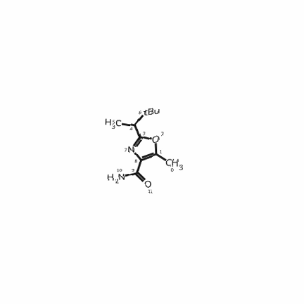 Cc1oc(C(C)C(C)(C)C)nc1C(N)=O